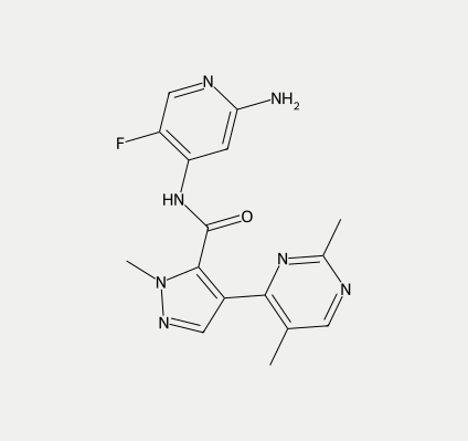 Cc1ncc(C)c(-c2cnn(C)c2C(=O)Nc2cc(N)ncc2F)n1